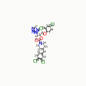 O=C(OC(COc1ccc(Cl)cc1Cl)Cn1ncnn1)N1CCC(Cc2ccc(Cl)c(Cl)c2)CC1